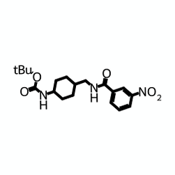 CC(C)(C)OC(=O)NC1CCC(CNC(=O)c2cccc([N+](=O)[O-])c2)CC1